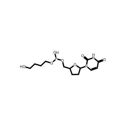 O=c1ccn(C2CCC(COP(O)OCCCCO)O2)c(=O)[nH]1